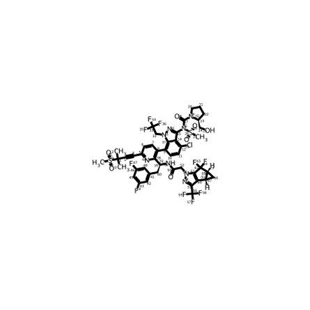 CC(C)(C#Cc1ccc(-c2ccc(Cl)c3c(N(C(=O)N4CCC[C@H]4CO)S(C)(=O)=O)nn(CC(F)(F)F)c23)c([C@H](Cc2cc(F)cc(F)c2)NC(=O)Cn2nc(C(F)(F)F)c3c2C(F)(F)[C@@H]2C[C@H]32)n1)S(C)(=O)=O